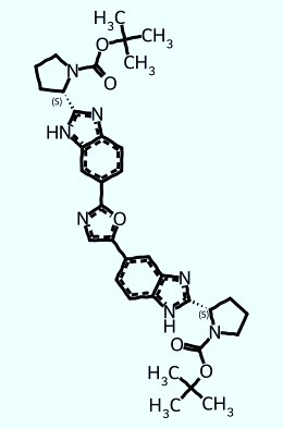 CC(C)(C)OC(=O)N1CCC[C@H]1c1nc2cc(-c3cnc(-c4ccc5nc([C@@H]6CCCN6C(=O)OC(C)(C)C)[nH]c5c4)o3)ccc2[nH]1